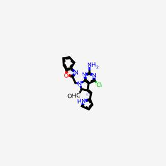 Nc1nc(Cl)c2c(n1)N(Cc1nc3ccccc3o1)C(C=O)/C2=C\c1ccc[nH]1